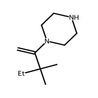 C=C(N1CCNCC1)C(C)(C)CC